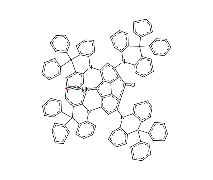 N=c1c2c(N3c4ccccc4C(c4ccccc4)(c4ccccc4)c4ccccc43)cc(N3c4ccccc4C(c4ccccc4)(c4ccccc4)c4ccccc43)c3c2-c2c1c(N1c4ccccc4C(c4ccccc4)(c4ccccc4)c4ccccc41)cc(N1c4ccccc4C(c4ccccc4)(c4ccccc4)c4ccccc41)c2c3=O